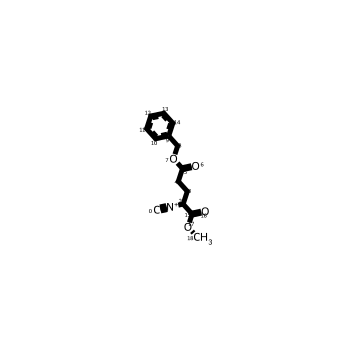 [C-]#[N+]C(CCC(=O)OCc1ccccc1)C(=O)OC